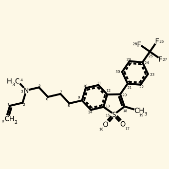 C=CCN(C)CCCCc1ccc2c(c1)S(=O)(=O)C(C)=C2c1ccc(C(F)(F)F)cc1